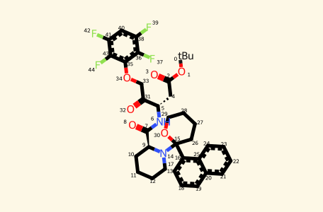 CC(C)(C)OC(=O)C[C@H](NC(=O)[C@@H]1CCCCN1C1(c2cccc3ccccc23)CCCCO1)C(=O)COc1c(F)c(F)cc(F)c1F